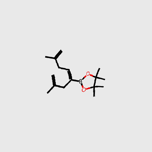 C=C(C)C/C=C(\CC(=C)C)B1OC(C)(C)C(C)(C)O1